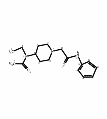 CCN(C(C)=O)C1CCN(CC(=O)Nc2ccccc2)CC1